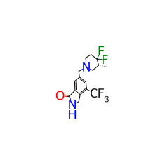 C[C@@H]1CN(Cc2cc3c(c(C(F)(F)F)c2)CNC3=O)CCC1(F)F